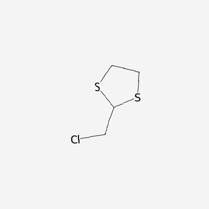 ClCC1SCCS1